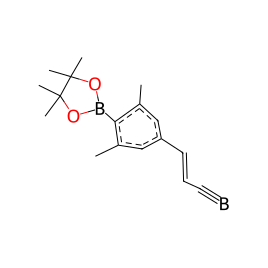 B#C/C=C/c1cc(C)c(B2OC(C)(C)C(C)(C)O2)c(C)c1